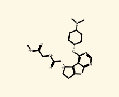 CNC(=O)CNC(=O)C[C@H]1CCc2sc3ncnc(O[C@H]4CC[C@H](N(C)C)CC4)c3c21